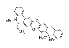 C=CCN(CCC)c1ccccc1-c1ccc2c(c1)Oc1cc3c(cc1O2)C(C)(CCC)c1ccccc1C3